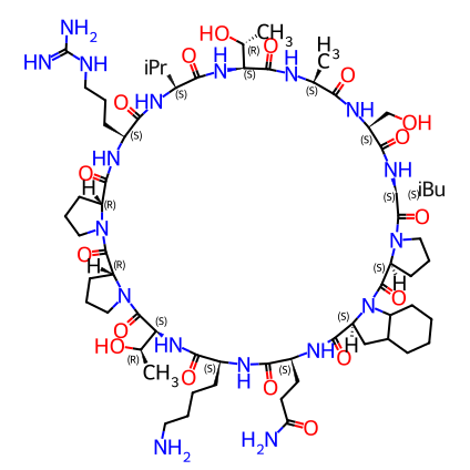 CC[C@H](C)[C@@H]1NC(=O)[C@H](CO)NC(=O)[C@H](C)NC(=O)[C@H]([C@@H](C)O)NC(=O)[C@H](C(C)C)NC(=O)[C@H](CCCNC(=N)N)NC(=O)[C@H]2CCCN2C(=O)[C@H]2CCCN2C(=O)[C@H]([C@@H](C)O)NC(=O)[C@H](CCCCN)NC(=O)[C@H](CCC(N)=O)NC(=O)[C@@H]2CC3CCCCC3N2C(=O)[C@@H]2CCCN2C1=O